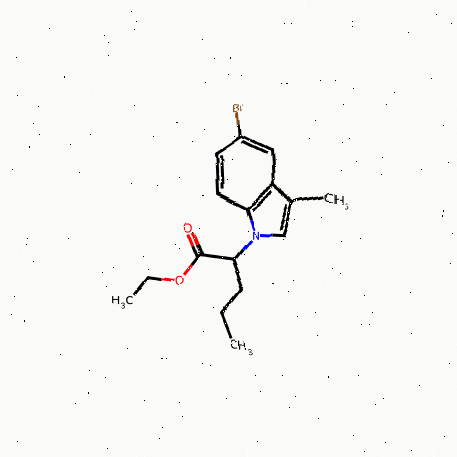 CCCC(C(=O)OCC)n1cc(C)c2cc(Br)ccc21